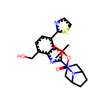 CC(C)(C)OC(=O)N1C2CCC1CN(c1nc3c(CO)ccc(-c4nccs4)c3o1)C2